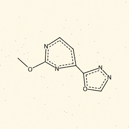 COc1nccc(-c2nnco2)n1